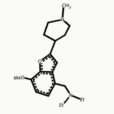 CCN(CC)Cc1ccc(OC)c2oc(C3CCN(C)CC3)cc12